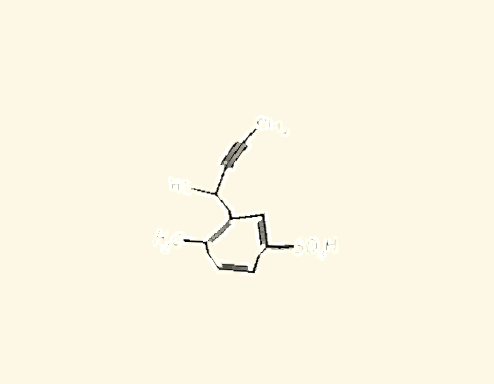 CC#CC(O)c1cc(S(=O)(=O)O)ccc1C